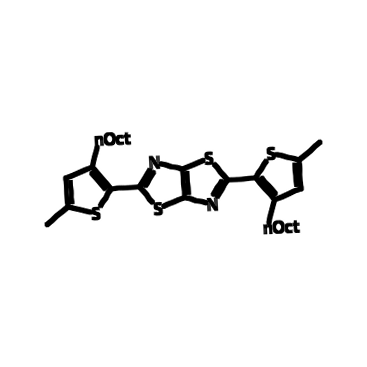 CCCCCCCCc1cc(C)sc1-c1nc2sc(-c3sc(C)cc3CCCCCCCC)nc2s1